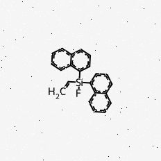 C=C[Si](F)(c1cccc2ccccc12)c1cccc2ccccc12